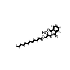 CCCCCCCCCCCCOCC(O)CN1C(=O)c2ccccc2C1=O